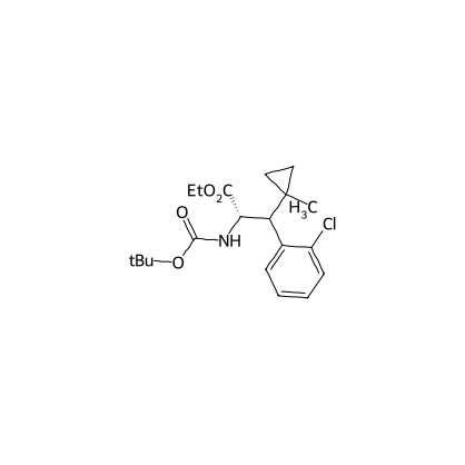 CCOC(=O)[C@@H](NC(=O)OC(C)(C)C)C(c1ccccc1Cl)C1(C)CC1